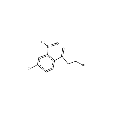 O=C(CCBr)c1ccc(Cl)cc1[N+](=O)[O-]